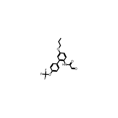 CCCOc1ccc(NC(=O)C=O)c(-c2ccc(OC(F)(F)F)cc2)c1